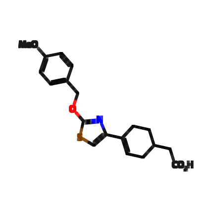 COc1ccc(COc2nc(C3=CCC(CC(=O)O)CC3)cs2)cc1